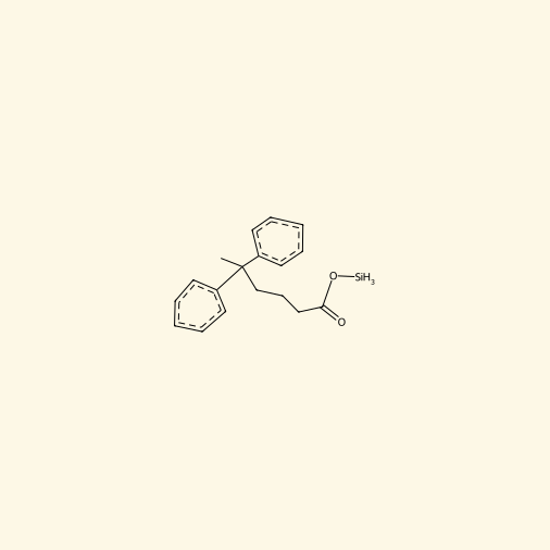 CC(CCCC(=O)O[SiH3])(c1ccccc1)c1ccccc1